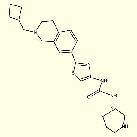 O=C(Nc1csc(-c2ccc3c(c2)CN(CC2CCC2)CC3)n1)N[C@H]1CCCNC1